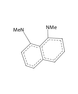 CNc1cccc2cccc(NC)c12